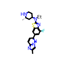 CCN(c1nc2c(F)cc(-c3ccc4nc(C)cn4n3)cc2s1)C1CCN[C@@H](C)C1